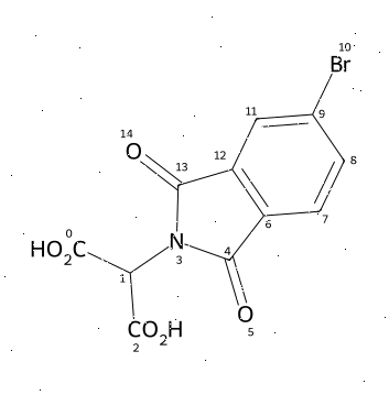 O=C(O)C(C(=O)O)N1C(=O)c2ccc(Br)cc2C1=O